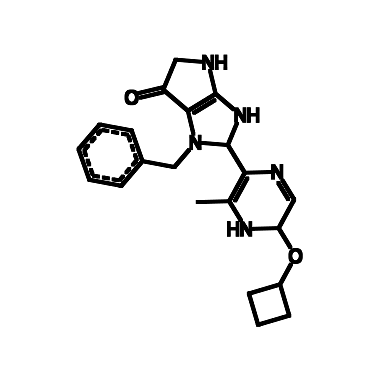 CC1=C(C2NC3=C(C(=O)CN3)N2Cc2ccccc2)N=CC(OC2CCC2)N1